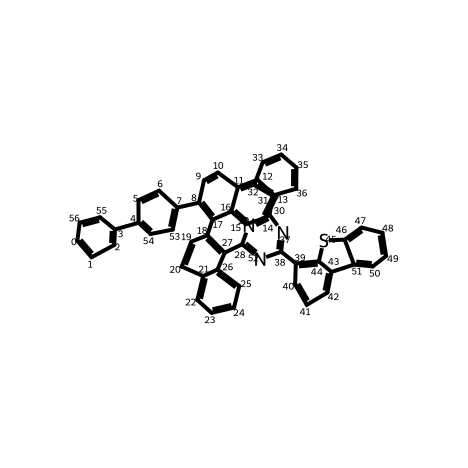 c1ccc(-c2ccc(-c3ccc4ccccc4c3-c3ccc4ccccc4c3-c3nc(-c4ccccc4)nc(-c4cccc5c4sc4ccccc45)n3)cc2)cc1